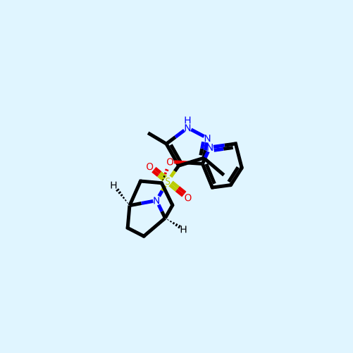 Cc1n[nH]c(C)c1S(=O)(=O)N1[C@@H]2CC[C@H]1C[C@H](Oc1ccccn1)C2